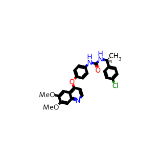 COc1cc2nccc(Oc3ccc(NC(=O)N[C@H](C)c4ccc(Cl)cc4)cc3)c2cc1OC